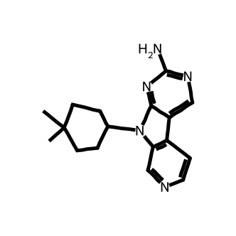 CC1(C)CCC(n2c3cnccc3c3cnc(N)nc32)CC1